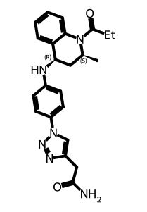 CCC(=O)N1c2ccccc2[C@H](Nc2ccc(-n3cc(CC(N)=O)nn3)cc2)C[C@@H]1C